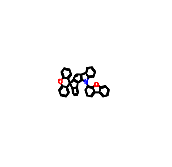 c1ccc2c(c1)Oc1ccccc1C21c2ccccc2-c2c1ccc1c3ccccc3n(-c3cccc4c3oc3ccccc34)c21